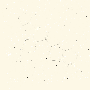 O=C(C1CCCCN1C(=O)C1CCc2ccccc2C1)N1CCCC1